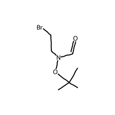 CC(C)(C)ON(C=O)CCBr